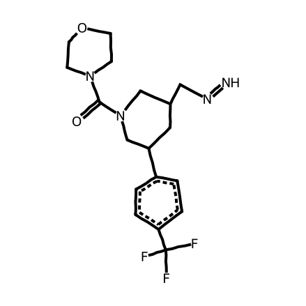 N=NCC1CC(c2ccc(C(F)(F)F)cc2)CN(C(=O)N2CCOCC2)C1